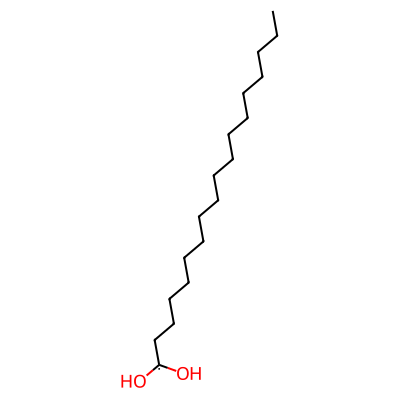 CCCCCCCCCCCCCCCCC[C](O)O